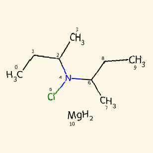 CCC(C)N(Cl)C(C)CC.[MgH2]